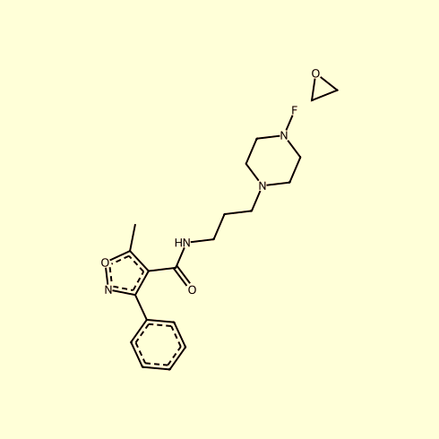 C1CO1.Cc1onc(-c2ccccc2)c1C(=O)NCCCN1CCN(F)CC1